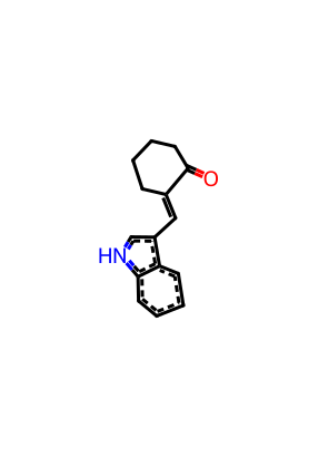 O=C1CCCC/C1=C\c1c[nH]c2ccccc12